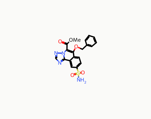 COC(=O)c1c(OCc2ccccc2)c2ccc(S(N)(=O)=O)cc2c2ncnn12